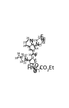 CCOC(=O)CS(=O)(=O)Nc1ccc(C=C(F)c2cc(N3CCC(F)(F)CC3)c3ncccc3c2)c(N2CCC3(CC2)CC3)c1